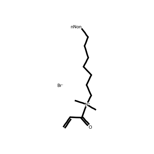 C=CC(=O)[N+](C)(C)CCCCCCCCCCCCCCCC.[Br-]